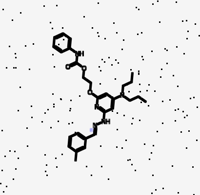 CCCN(CCC)c1cc(N/N=C/c2cccc(C)c2)nc(OCCOC(=O)Nc2ccccc2)c1